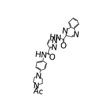 CC(=O)N1CCN(c2ccc(NC(=O)c3ccn(NC(=O)c4cnc5ccccc5n4)n3)cc2)CC1